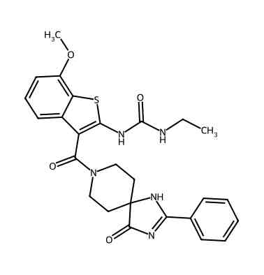 CCNC(=O)Nc1sc2c(OC)cccc2c1C(=O)N1CCC2(CC1)NC(c1ccccc1)=NC2=O